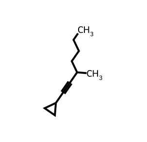 CCCCC(C)C#CC1CC1